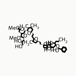 C=CCC1O[C@@H]2[C@H]3O[C@@H]4C[C@@](CC[C@H]5CC(=C)C(CC[C@H]6C[C@@H](C)C(=C)[C@@H](CC7O[C@H](C[C@H](O)CO)[C@H](OC)[C@H]7CC(=O)OC)O6)O5)(O[C@H]24)O[C@H]3[C@H]1OC(=O)c1ccccc1